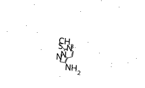 CSc1nccc2c(N)cnn12